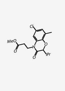 COC(=O)CCN1C(=O)C(C(C)C)Oc2c(C)cc(Cl)cc21